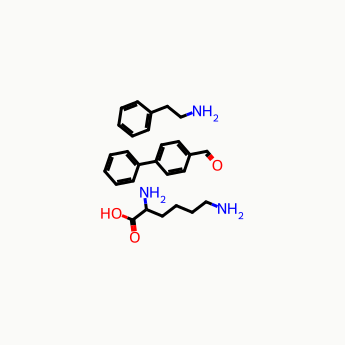 NCCCCC(N)C(=O)O.NCCc1ccccc1.O=Cc1ccc(-c2ccccc2)cc1